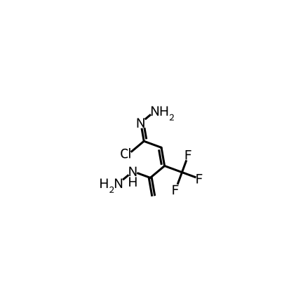 C=C(NN)/C(=C\C(Cl)=N/N)C(F)(F)F